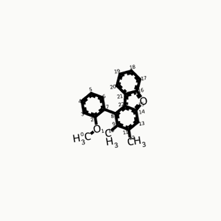 COc1ccccc1-c1c(C)c(C)cc2oc3ccccc3c12